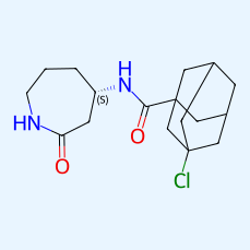 O=C1C[C@@H](NC(=O)C23CC4CC(CC(Cl)(C4)C2)C3)CCCN1